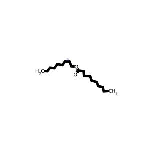 CCCCCC/C=C\COC(=O)CCCCCCCCC